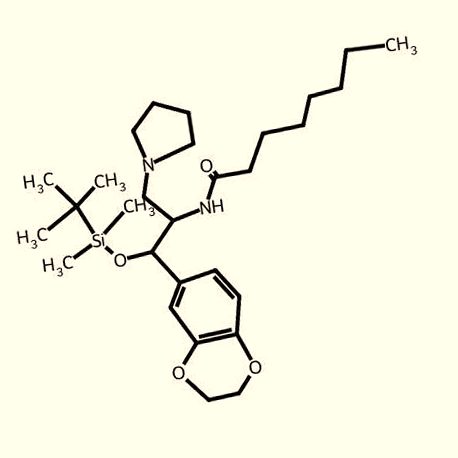 CCCCCCCC(=O)NC(CN1CCCC1)C(O[Si](C)(C)C(C)(C)C)c1ccc2c(c1)OCCO2